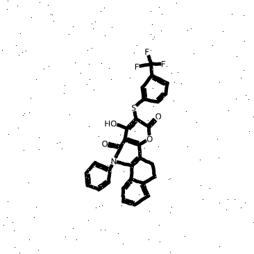 O=c1oc2c3c(n(-c4ccccc4)c(=O)c2c(O)c1Sc1cccc(C(F)(F)F)c1)-c1ccccc1CC3